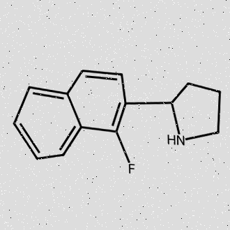 Fc1c(C2CCCN2)ccc2ccccc12